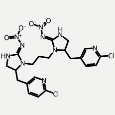 O=[N+]([O-])N=C1NCC(Cc2ccc(Cl)nc2)N1CCCN1C(=N[N+](=O)[O-])NCC1Cc1ccc(Cl)nc1